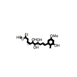 CCC(C/C=C\C(O)[C@H](O)[C@H](O)C/C=C/c1cc(OC)cc(O)c1C)OO